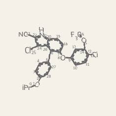 CC(C)Oc1ccc(-c2c(Oc3ccc(Cl)c(OC(F)(F)F)c3)ccc3[nH]c(C#N)c(Cl)c23)cc1